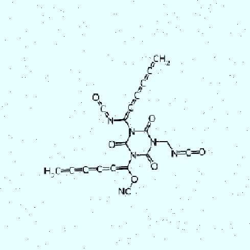 C=C=C=C=C=C(N=C=O)n1c(=O)n(CN=C=O)c(=O)n(C(=C=C=C=C=C)OC#N)c1=O